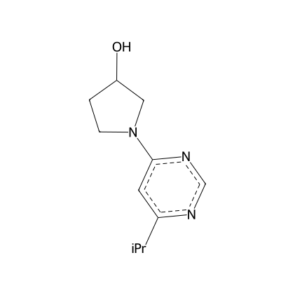 CC(C)c1cc(N2CCC(O)C2)ncn1